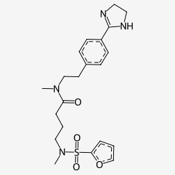 CN(CCc1ccc(C2=NCCN2)cc1)C(=O)CCCN(C)S(=O)(=O)c1ccco1